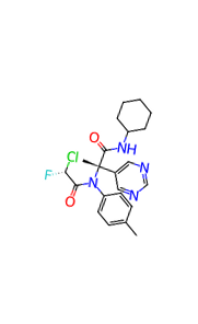 Cc1ccc(N(C(=O)[C@H](F)Cl)[C@](C)(C(=O)NC2CCCCC2)c2cncnc2)cc1